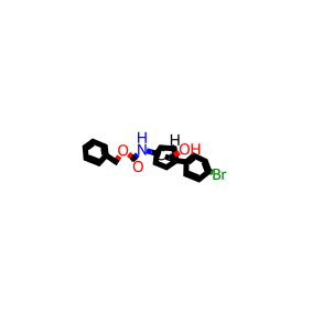 O=C(NC12CCC(c3ccc(Br)cc3)(CC1)[C@H](O)C2)OCc1ccccc1